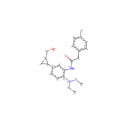 Cc1ccc(CC(=O)Nc2cc(C3CC3CO)ccc2N(CC(C)C)CC(C)C)cc1